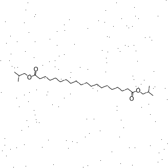 CC(C)COC(=O)CCCCCCCCCCCCCCCCCCC(=O)OCC(C)C